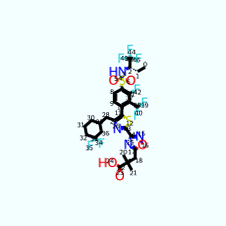 CC[C@H](NS(=O)(=O)c1ccc(-c2sc(-c3noc(CC(C)(C)C(=O)O)n3)nc2CC2CCCC(F)(F)C2)c(C(F)F)c1F)C(F)(F)F